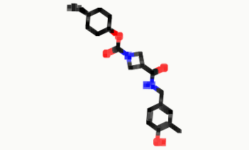 CCCC[C@H]1CC[C@@H](OC(=O)N2CC(C(=O)NCc3ccc(O)c(C)c3)C2)CC1